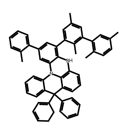 Cc1ccc(C)c(-c2cc(C)cc(-c3cc(-c4ccccc4C)cc4c3Bc3cccc5c3N4c3ccccc3C5(C3=CC=CCC3)c3ccccc3)c2C)c1